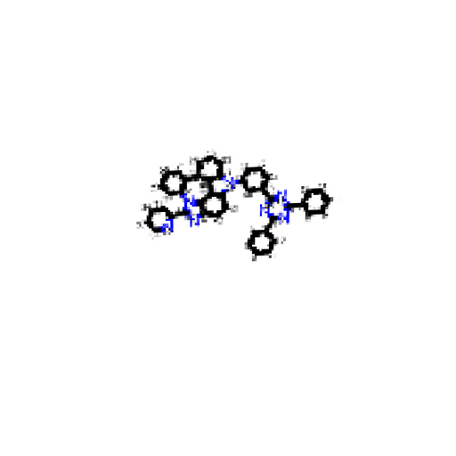 c1ccc(-c2nc(-c3ccccc3)nc(-c3cccc(-n4c5cccc6c7ccccc7n7c(-c8ccccn8)nc8ccc4c(c65)c87)c3)n2)cc1